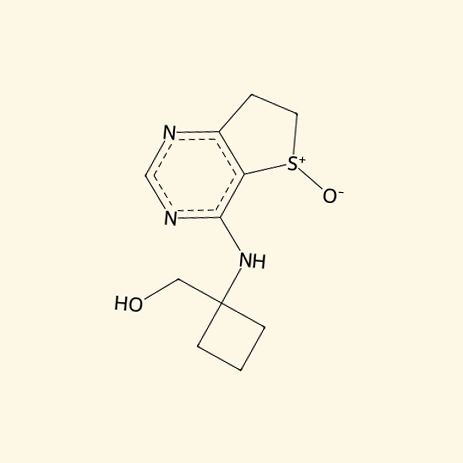 [O-][S+]1CCc2ncnc(NC3(CO)CCC3)c21